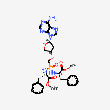 CCCOC(=O)[C@H](Cc1ccccc1)NP(=O)(CO[C@H]1CO[C@@H](n2cnc3c(N)ncnc32)C1)N[C@@H](Cc1ccccc1)C(=O)OCCC